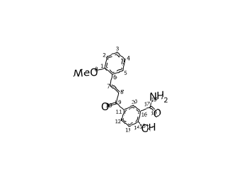 COc1ccccc1/C=C/C(=O)c1ccc(O)c(C(N)=O)c1